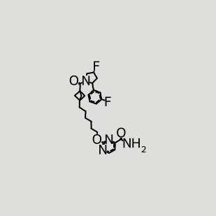 NC(=O)c1ccnc(OCCCCCCC23CC(C(=O)N4CC(F)CC4c4cccc(F)c4)(C2)C3)n1